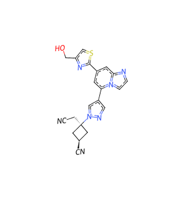 N#CC[C@]1(n2cc(-c3cc(-c4nc(CO)cs4)cc4nccn34)cn2)C[C@@H](C#N)C1